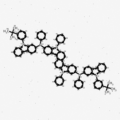 CC(C)(C)c1cccc(-n2c3ccccc3c3ccc(N(c4ccccc4)c4ccc5c6c7ccc8c(c7ccc6n(-c6ccccc6)c5c4)c4ccc(N(c5ccccc5)c5ccc6c7ccccc7n(-c7cccc(C(C)(C)C)c7)c6c5)cc4n8-c4ccccc4)cc32)c1